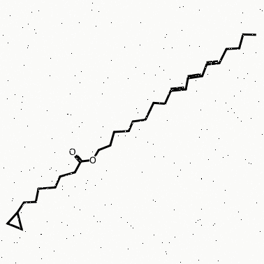 CCCC/C=C/C=C/C=C/CCCCCCCCOC(=O)CCCCCCC1CC1